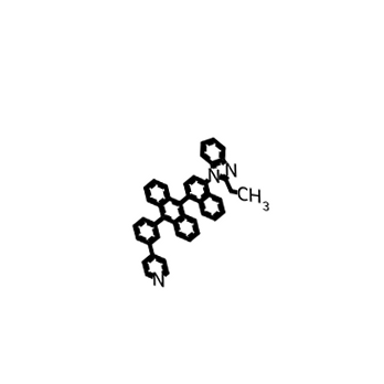 CCc1nc2ccccc2n1-c1ccc(-c2c3ccccc3c(-c3cccc(-c4ccncc4)c3)c3ccccc23)c2ccccc12